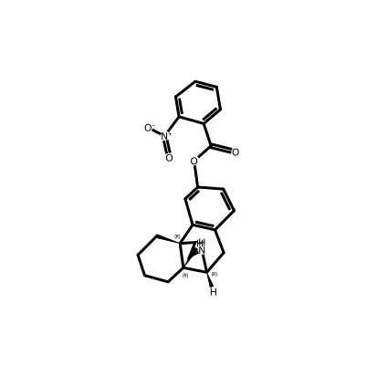 O=C(Oc1ccc2c(c1)[C@@]13CCCC[C@H]1[C@@H](C2)NCC3)c1ccccc1[N+](=O)[O-]